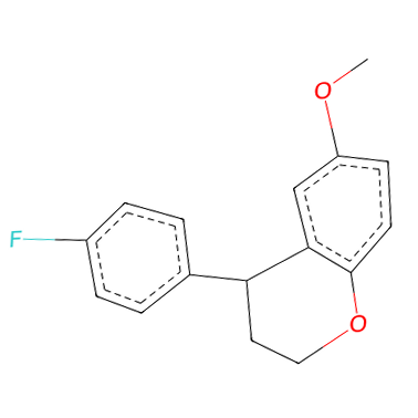 COc1ccc2c(c1)C(c1ccc(F)cc1)CCO2